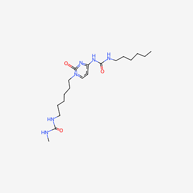 CCCCCCNC(=O)Nc1ccn(CCCCCCNC(=O)NC)c(=O)n1